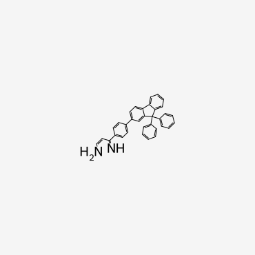 N=C(/C=C\N)c1ccc(-c2ccc3c(c2)C(c2ccccc2)(c2ccccc2)c2ccccc2-3)cc1